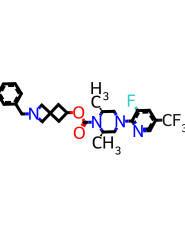 C[C@@H]1CN(c2ncc(C(F)(F)F)cc2F)C[C@H](C)N1C(=O)OC1CC2(C1)CN(Cc1ccccc1)C2